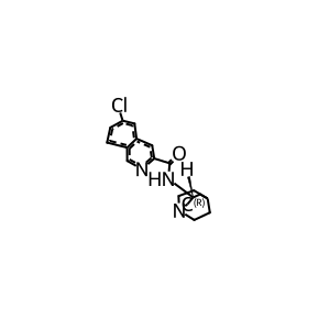 O=C(N[C@@H]1CC2CCN(CC2)C1)c1cc2cc(Cl)ccc2cn1